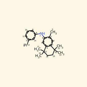 Cc1cc2c(cc1Nc1cccc(C(C)C)c1)C(C)(C)CCC2(C)C